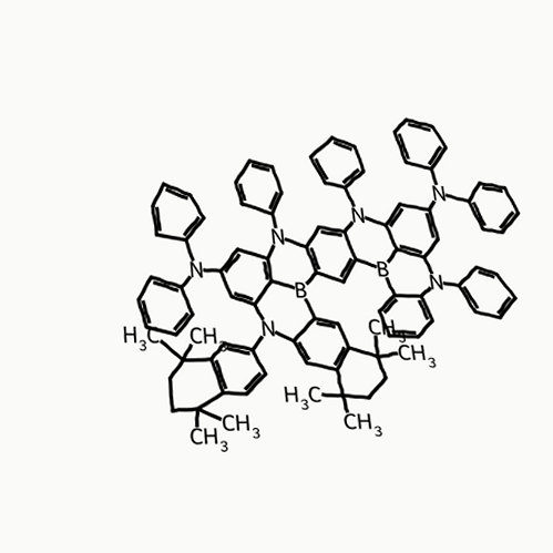 CC1(C)CCC(C)(C)c2cc(N3c4cc5c(cc4B4c6cc7c(cc6N(c6ccccc6)c6cc(N(c8ccccc8)c8ccccc8)cc3c64)N(c3ccccc3)c3cc(N(c4ccccc4)c4ccccc4)cc4c3B7c3ccccc3N4c3ccccc3)C(C)(C)CCC5(C)C)ccc21